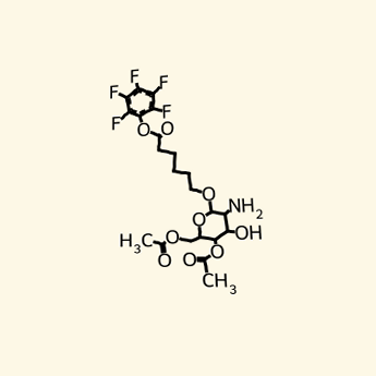 CC(=O)OCC1OC(OCCCCCC(=O)Oc2c(F)c(F)c(F)c(F)c2F)C(N)C(O)C1OC(C)=O